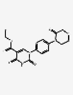 CCOC(=O)c1cn(-c2ccc(N3CCOCC3=O)cc2)c(=O)[nH]c1=O